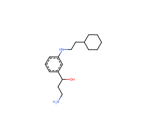 NCCC(O)c1cccc(NCCC2CCCCC2)c1